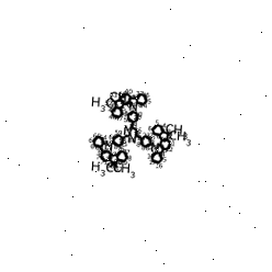 CC1(C)c2ccccc2-c2c1ccc1c3ccccc3n(-c3ccc(-c4cc(-c5ccc(-n6c7ccccc7c7ccc8c(c76)-c6ccccc6C8(C)C)cc5)nc(-c5ccc(-n6c7ccccc7c7ccc8c(c76)-c6ccccc6C8(C)C)cc5)n4)cc3)c21